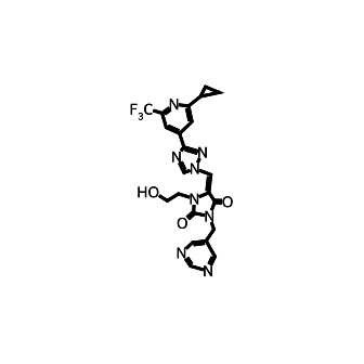 O=C1C(=Cn2cnc(-c3cc(C4CC4)nc(C(F)(F)F)c3)n2)N(CCO)C(=O)N1Cc1cncnc1